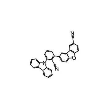 N#Cc1ccc2oc3ccc(-c4cccc(-n5c6ccccc6c6ccccc65)c4C#N)cc3c2c1